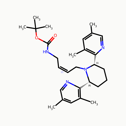 Cc1cnc([C@H]2CCC[C@@H](c3ncc(C)cc3C)N2C/C=C\CNC(=O)OC(C)(C)C)c(C)c1